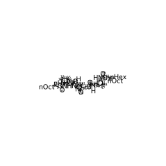 CCCCCCCCC(CCCCCC)COC(=O)NC1CC(C)(C)CC(C)(CNC(=O)Nc2nc(=O)c(CCOC(=O)NCC3(C)CC(NC(=O)OCC(CCCCCC)CCCCCCCC)CC(C)(C)C3)c(C)[nH]2)C1